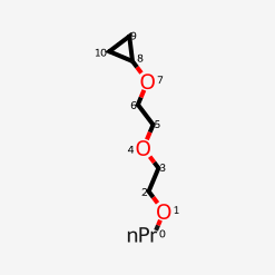 CCCOCCOCCOC1CC1